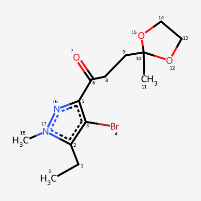 CCc1c(Br)c(C(=O)CCC2(C)OCCO2)nn1C